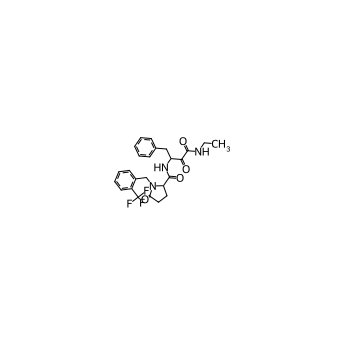 CCNC(=O)C(=O)C(Cc1ccccc1)NC(=O)C1CCC(=O)N1Cc1ccccc1C(F)(F)F